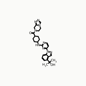 CC(C)(O)c1cccc2c1cnn2-c1ccnc(NC2CCC(C(=O)N3CCn4cnnc4C3)CC2)n1